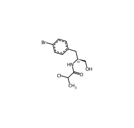 CC(Cl)C(=O)N[C@H](CO)Cc1ccc(Br)cc1